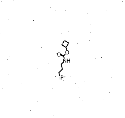 CC(C)CCCNC(=O)OC1CCC1